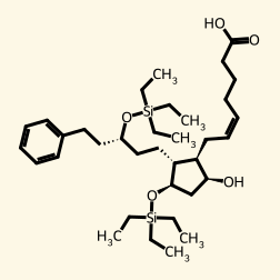 CC[Si](CC)(CC)O[C@@H](CCc1ccccc1)CC[C@@H]1[C@@H](C/C=C\CCCC(=O)O)[C@@H](O)C[C@H]1O[Si](CC)(CC)CC